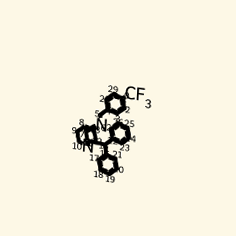 FC(F)(F)c1ccc(CN=C2C3CCN(CC3)C2C(c2ccccc2)c2ccccc2)cc1